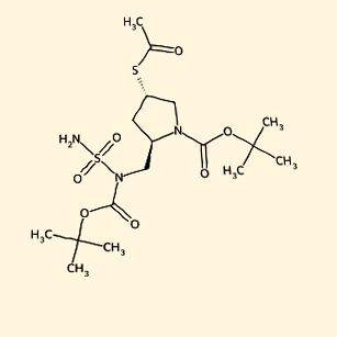 CC(=O)S[C@H]1C[C@H](CN(C(=O)OC(C)(C)C)S(N)(=O)=O)N(C(=O)OC(C)(C)C)C1